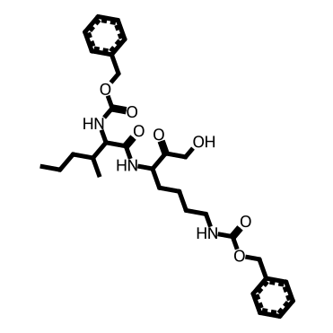 CCCC(C)C(NC(=O)OCc1ccccc1)C(=O)NC(CCCCNC(=O)OCc1ccccc1)C(=O)CO